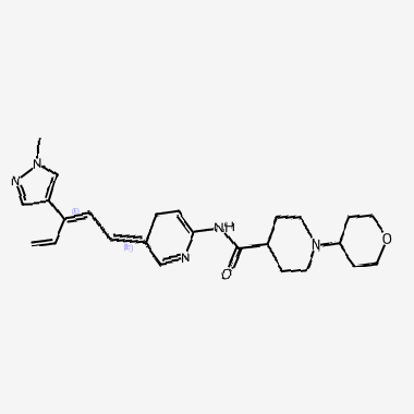 C=C/C(=C\C=C1\C=NC(NC(=O)C2CCN(C3CCOCC3)CC2)=CC1)c1cnn(C)c1